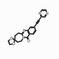 O=c1c2ccc(C#Cc3cnccn3)cc2nc2n1CCC1(CC2)OCCO1